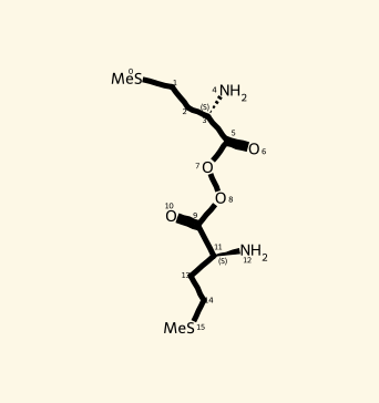 CSCC[C@H](N)C(=O)OOC(=O)[C@@H](N)CCSC